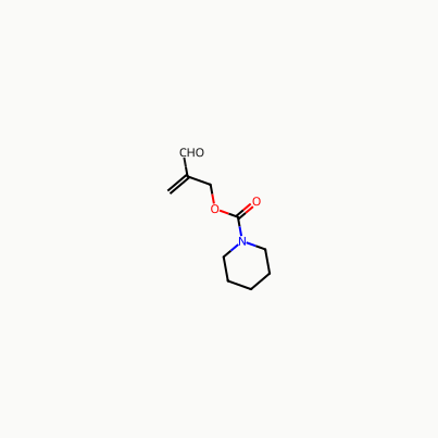 C=C(C=O)COC(=O)N1CCCCC1